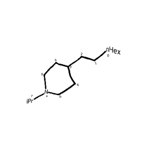 CCCCCCCCC1CCN(C(C)C)CC1